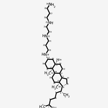 CC(C)CCC[C@@H](C)[C@H]1CCC2C3CC[C@@H]4C[C@@H](NCCCNCCNCCCN)CC[C@]4(C)C3CC[C@@]21C